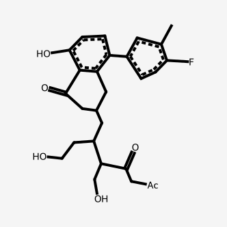 CC(=O)CC(=O)C(CO)C(CCO)CC1CC(=O)c2c(O)ccc(-c3ccc(F)c(C)c3)c2C1